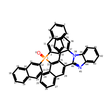 O=P(c1ccc2ccccc2c1)(c1ccc2ccccc2c1)c1c2ccccc2cc2c1c1ccccc1n1c3ccccc3nc21